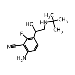 CC(C)(C)NCC(O)c1ccc(N)c(C#N)c1F